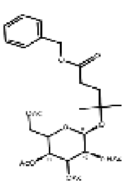 CC(=O)N[C@H]1C(OC(C)=O)[C@@H](OC(C)=O)C(COC(C)=O)O[C@H]1OC(C)(C)CCC(=O)OCc1ccccc1